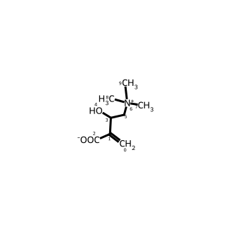 C=C(C(=O)[O-])C(O)C[N+](C)(C)C